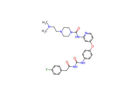 CN(C)CCN1CCN(C(=O)Nc2cc(Oc3ccc(NC(=O)NC(=O)Cc4ccc(F)cc4)cc3)ccn2)CC1